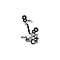 CN[C@@H](C)C(=O)N[C@H]1CCS[C@H]2CC(C)(C)[C@@H](C(=O)N[C@H]3c4ccccc4C[C@H]3OCC#CC#CCO[C@@H]3Cc4ccccc4[C@@H]3N)N2C1=O